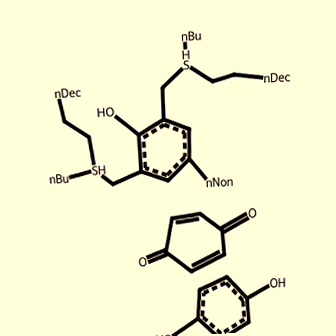 CCCCCCCCCCCC[SH](CCCC)Cc1cc(CCCCCCCCC)cc(C[SH](CCCC)CCCCCCCCCCCC)c1O.O=C1C=CC(=O)C=C1.Oc1ccc(O)cc1